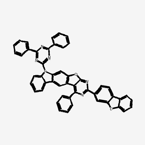 c1ccc(-c2nc(-c3ccccc3)nc(-n3c4ccccc4c4cc5c(cc43)oc3nc(-c4ccc6c(c4)oc4ccccc46)nc(-c4ccccc4)c35)n2)cc1